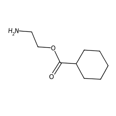 NCCOC(=O)C1CCCCC1